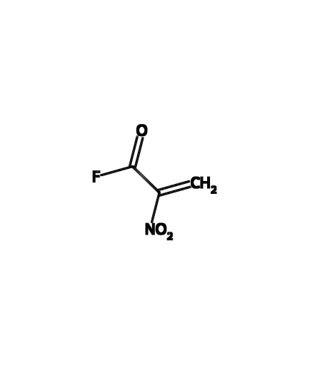 C=C(C(=O)F)[N+](=O)[O-]